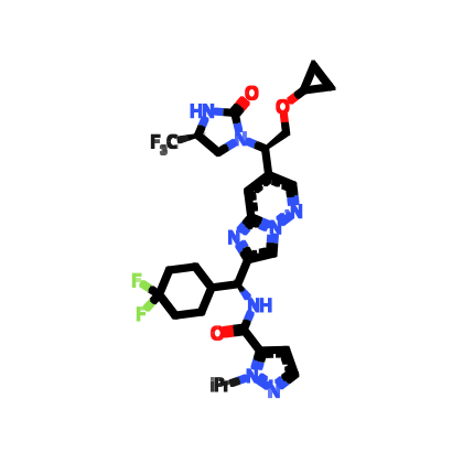 CC(C)n1nccc1C(=O)N[C@H](c1cn2ncc([C@H](COC3CC3)N3C[C@@H](C(F)(F)F)NC3=O)cc2n1)C1CCC(F)(F)CC1